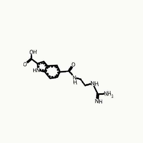 N=C(N)NCCNC(=O)c1ccc2[nH]c(C(=O)O)cc2c1